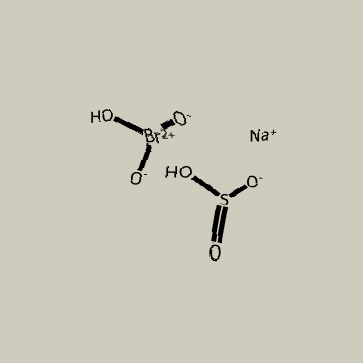 O=S([O-])O.[Na+].[O-][Br+2]([O-])O